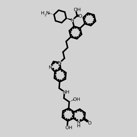 N[C@H]1CC[C@H](N(C(=O)O)c2cc(CCCCn3cnc4cc(CNC[C@H](O)c5ccc(O)c6[nH]c(=O)ccc56)ccc43)ccc2-c2ccccc2)CC1